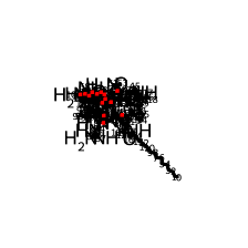 CCCCCCCCCCCCCCCC(=O)N[C@H](C(=O)C[C@@H](CCCNC(=N)N)C(=O)N1CCC[C@H]1C(=O)C[C@H](C(=O)N[C@@H](C)C(=O)C[C@@H](CC(N)=O)C(=O)N[C@@H](C)C(=O)C[C@@H](CCCNC(=N)N)C(=O)N[C@@H](CC(C)C)C(=O)C[C@@H](CCCNC(=N)N)C(=O)N[C@@H](CC(C)C)C(=O)C[C@@H](CC(C)C)C(=O)N[C@@H](CC(C)C)C(N)=O)C(C)C)C(C)C